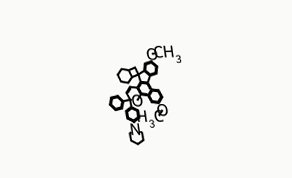 COc1ccc2c(c1)C1(CC3CCCCC31)c1c3c(c4cc(OC)ccc4c1-2)OC(c1ccccc1)(c1ccc(N2CCCCC2)cc1)C=C3